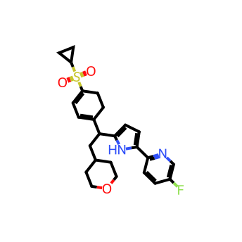 O=S(=O)(C1=CC=C(C(CC2CCOCC2)c2ccc(-c3ccc(F)cn3)[nH]2)CC1)C1CC1